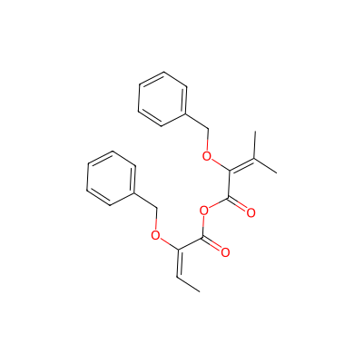 CC=C(OCc1ccccc1)C(=O)OC(=O)C(OCc1ccccc1)=C(C)C